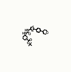 CC(C)(C)OC(=O)N1CCC[C@H](NC(=O)Nc2csc(-c3ccc(C4=CCOCC4)cc3)n2)C1